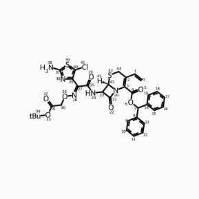 C=CC1=C(C(=O)OC(c2ccccc2)c2ccccc2)N2C(=O)C(NC(=O)C(=NOCC(=O)OC(C)(C)C)c3nc(N)sc3Cl)[C@@H]2SC1